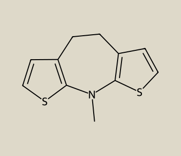 CN1c2sccc2CCc2ccsc21